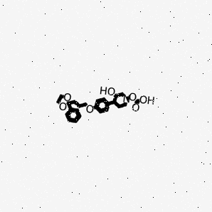 O=C(O)ON1CCC(c2ccc(OCCCC3(c4ccccc4)OCCO3)cc2)C(O)C1